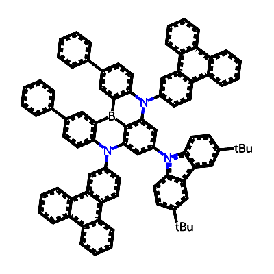 CC(C)(C)c1ccc2c(c1)c1cc(C(C)(C)C)ccc1n2-c1cc2c3c(c1)N(c1ccc4c5ccccc5c5ccccc5c4c1)c1ccc(-c4ccccc4)cc1B3c1cc(-c3ccccc3)ccc1N2c1ccc2c3ccccc3c3ccccc3c2c1